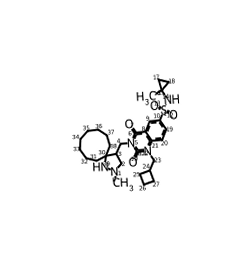 CN1CC(Cn2c(=O)c3cc(S(=O)(=O)NC4(C)CC4)ccc3n(CC3CCC3)c2=O)C2(CCCCCCCC2)N1